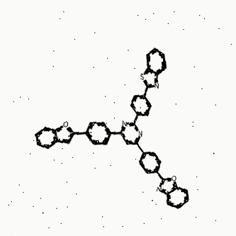 c1ccc2oc(-c3ccc(-c4cc(-c5ccc(-c6nc7ccccc7o6)cc5)nc(-c5ccc(-c6nc7ccccc7s6)cc5)n4)cc3)cc2c1